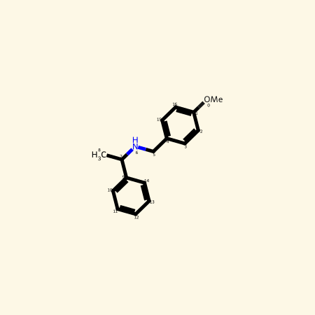 COc1ccc(CNC(C)c2ccccc2)cc1